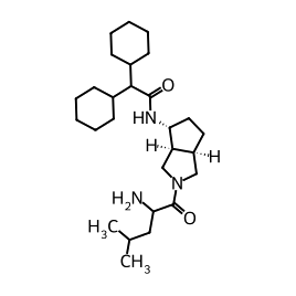 CC(C)CC(N)C(=O)N1C[C@@H]2CC[C@@H](NC(=O)C(C3CCCCC3)C3CCCCC3)[C@@H]2C1